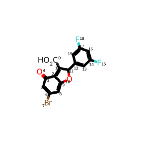 O=C(O)C1=C2C(=O)C=C(Br)C=C2OC1c1cc(F)cc(F)c1